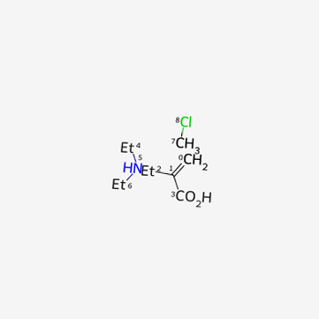 C=C(CC)C(=O)O.CCNCC.CCl